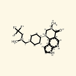 CN(CC(F)(F)F)C[C@H]1CC[C@H](N2CN(C)C(=O)c3cnc4[nH]ccc4c32)CC1